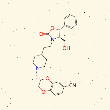 N#Cc1ccc2c(c1)O[C@@H](CN1CCC(CCN3C(=O)OC(c4ccccc4)[C@H]3CO)CC1)CO2